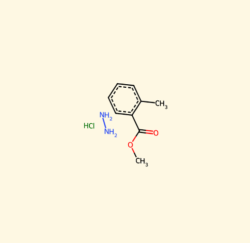 COC(=O)c1ccccc1C.Cl.NN